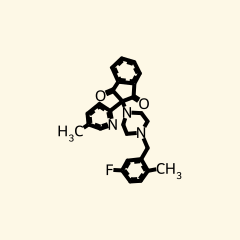 Cc1ccc(C2(N3CCN(Cc4cc(F)ccc4C)CC3)C(=O)c3ccccc3C2=O)nc1